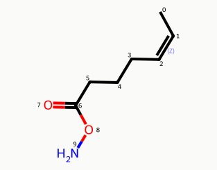 C/C=C\CCCC(=O)ON